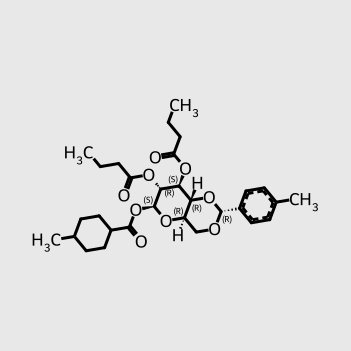 CCCC(=O)O[C@@H]1[C@@H](OC(=O)CCC)[C@H](OC(=O)C2CCC(C)CC2)O[C@@H]2CO[C@@H](c3ccc(C)cc3)O[C@@H]12